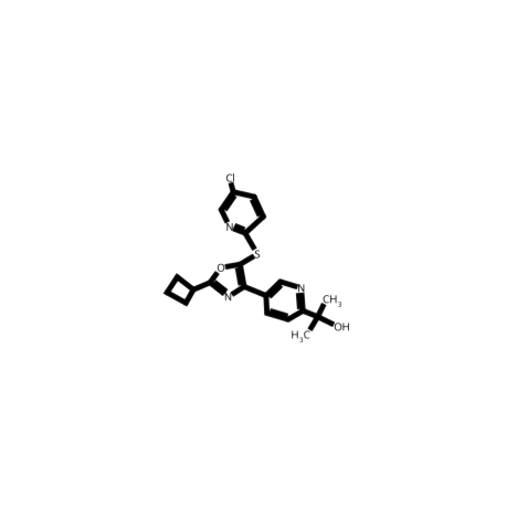 CC(C)(O)c1ccc(-c2nc(C3CCC3)oc2Sc2ccc(Cl)cn2)cn1